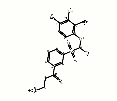 CCCc1c(OC(CC)S(=O)(=O)c2cccc(C(=O)CCC(=O)O)c2)ccc(C(C)=O)c1O